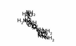 NNC(=O)CC[C@H](NC(=O)c1ccc(NCc2cnc3nc(N)nc(N)c3n2)cc1)C(=O)NN